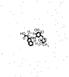 CC(C(=O)O)C1=Cc2ccccc2C1NNc1cc(CN2OCC(C)(C)C2=O)c(Cl)cc1F.O